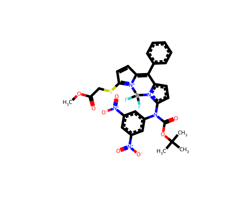 COC(=O)CSC1=[N+]2C(=C(c3ccccc3)c3ccc(N(C(=O)OC(C)(C)C)c4cc([N+](=O)[O-])cc([N+](=O)[O-])c4)n3[B-]2(F)F)C=C1